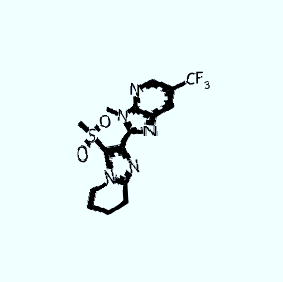 Cn1c(-c2nc3n(c2S(C)(=O)=O)CCCC3)nc2cc(C(F)(F)F)cnc21